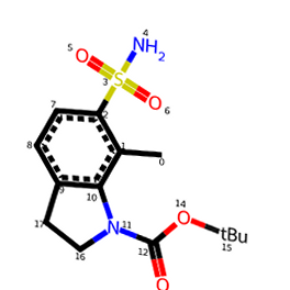 Cc1c(S(N)(=O)=O)ccc2c1N(C(=O)OC(C)(C)C)CC2